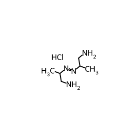 CC(CN)N=NC(C)CN.Cl